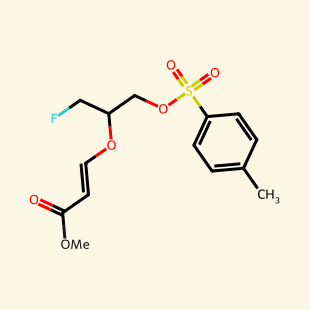 COC(=O)C=COC(CF)COS(=O)(=O)c1ccc(C)cc1